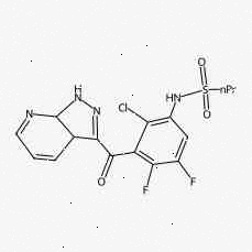 CCCS(=O)(=O)Nc1cc(F)c(F)c(C(=O)C2=NNC3N=CC=CC23)c1Cl